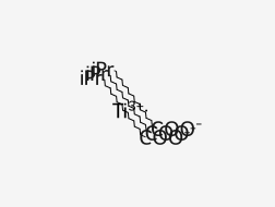 CC(C)CCCCCCCCCCCCCCC(=O)[O-].CC(C)CCCCCCCCCCCCCCC(=O)[O-].CC(C)CCCCCCCCCCCCCCC(=O)[O-].[Ti+3]